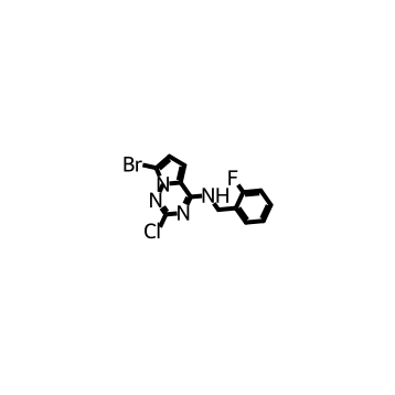 Fc1ccccc1CNc1nc(Cl)nn2c(Br)ccc12